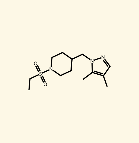 CCS(=O)(=O)N1CCC(Cn2ncc(C)c2C)CC1